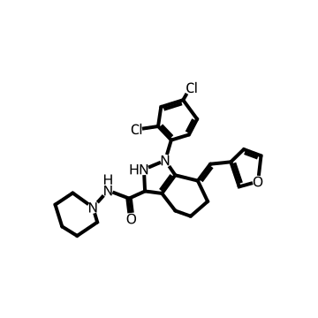 O=C(NN1CCCCC1)C1NN(c2ccc(Cl)cc2Cl)C2=C1CCC/C2=C\c1ccoc1